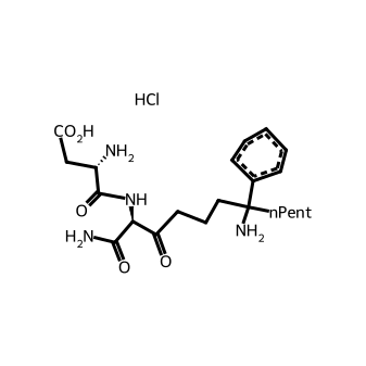 CCCCCC(N)(CCCC(=O)[C@H](NC(=O)[C@@H](N)CC(=O)O)C(N)=O)c1ccccc1.Cl